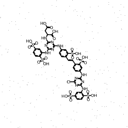 O=C(O)CC(Nc1nc(Nc2ccc(/C=C/c3ccc(Nc4nc(Cl)nc(Nc5cc(S(=O)(=O)O)ccc5S(=O)(=O)O)n4)cc3S(=O)(=O)O)c(S(=O)(=O)O)c2)nc(Nc2cc(S(=O)(=O)O)ccc2S(=O)(=O)O)n1)C(=O)O